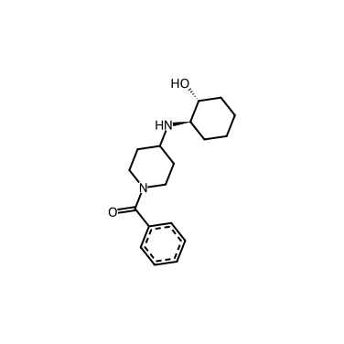 O=C(c1ccccc1)N1CCC(N[C@@H]2CCCC[C@H]2O)CC1